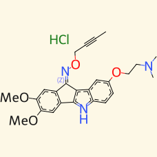 CC#CCO/N=C1/c2cc(OC)c(OC)cc2-c2[nH]c3ccc(OCCN(C)C)cc3c21.Cl